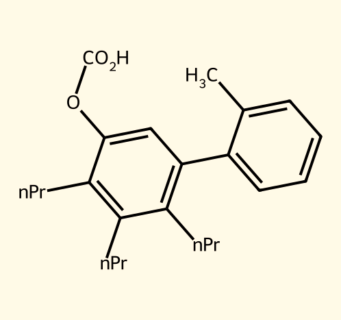 CCCc1c(OC(=O)O)cc(-c2ccccc2C)c(CCC)c1CCC